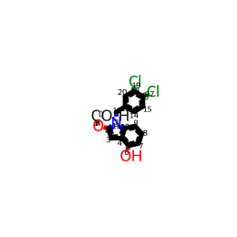 O=C(O)Oc1cc2c(O)cccc2n1Cc1ccc(Cl)c(Cl)c1